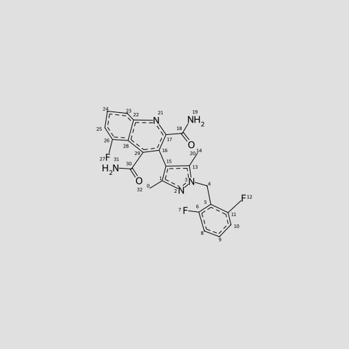 Cc1nn(Cc2c(F)cccc2F)c(C)c1-c1c(C(N)=O)nc2cccc(F)c2c1C(N)=O